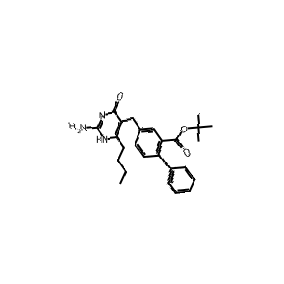 CCCCc1[nH]c(N)nc(=O)c1Cc1ccc(-c2ccccc2)c(C(=O)OC(C)(C)C)c1